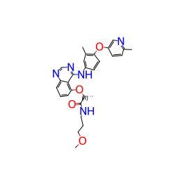 COCCCNC(=O)[C@@H](C)Oc1cccc2ncnc(Nc3ccc(Oc4ccc(C)nc4)c(C)c3)c12